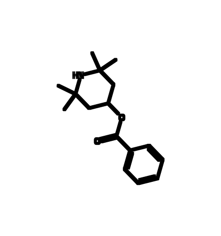 CC1(C)CC(OC(=O)c2ccccc2)CC(C)(C)N1